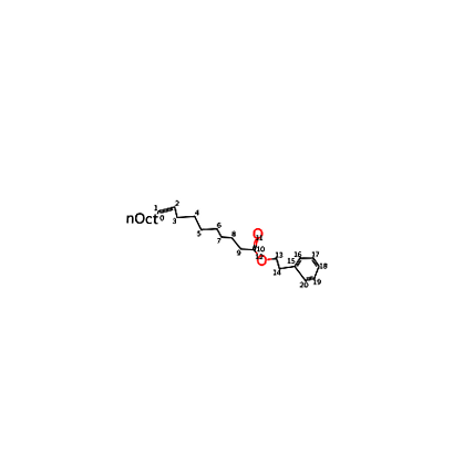 CCCCCCCC/C=C\CCCCCCCC(=O)OCCc1ccccc1